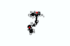 Cc1c(C#Cc2ccc(CN3CC(CNc4cccc5c4CN(C4(C=O)CCC(=O)NC4)C5=O)C3)cn2)sc2c1C(c1ccc(Cl)cc1)N(C)Cc1nnc(C)n1-2